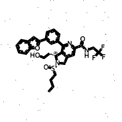 CCCC[S+]([O-])N1Cc2cc(C(=O)NCC(F)(F)F)nc(-c3cccc(-c4cc5ccccc5o4)c3)c2[C@H]1CCO